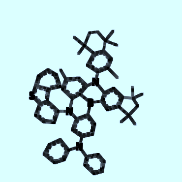 Cc1cc2c3c(c1)N(c1cccc4sc5ccccc5c14)c1cc(N(c4ccccc4)c4ccccc4)ccc1B3c1cc3c(cc1N2c1cc2c(cc1C)C(C)(C)CCC2(C)C)C(C)(C)CC3(C)C